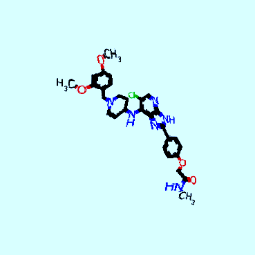 CNC(=O)COc1ccc(-c2nc3c(NC4CCN(Cc5ccc(OC)cc5OC)CC4)c(Cl)cnc3[nH]2)cc1